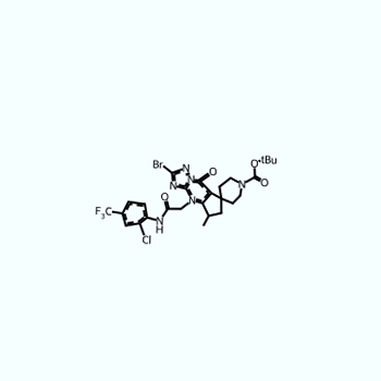 CC1CC2(CCN(C(=O)OC(C)(C)C)CC2)c2c1n(CC(=O)Nc1ccc(C(F)(F)F)cc1Cl)c1nc(Br)nn1c2=O